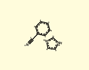 N#Cc1ccccc1.c1c[nH]cn1